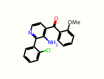 COc1ccccc1C(=O)c1ccnc(-c2ccccc2Cl)c1N